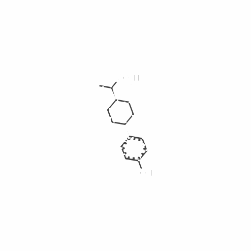 CC(C(=O)O)[C@H]1CC[C@H](c2ccc(O)cc2)CC1